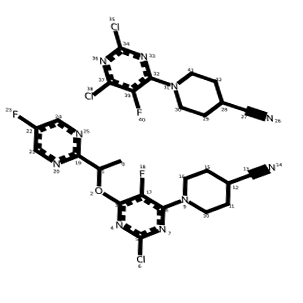 CC(Oc1nc(Cl)nc(N2CCC(C#N)CC2)c1F)c1ncc(F)cn1.N#CC1CCN(c2nc(Cl)nc(Cl)c2F)CC1